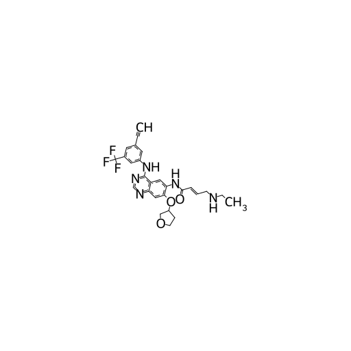 C#Cc1cc(Nc2ncnc3cc(OC4CCOC4)c(NC(=O)/C=C/CNCC)cc23)cc(C(F)(F)F)c1